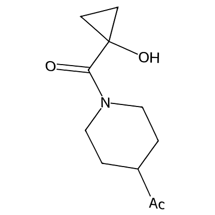 CC(=O)C1CCN(C(=O)C2(O)CC2)CC1